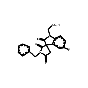 O=C(O)CN1C(=O)C2(CC(=O)N(Cc3ccccc3)C2=O)c2cc(F)ccc21